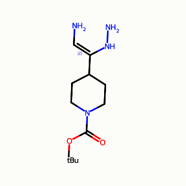 CC(C)(C)OC(=O)N1CCC(/C(=C/N)NN)CC1